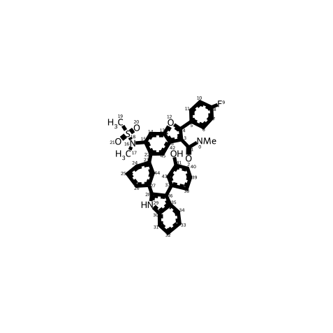 CNC(=O)c1c(-c2ccc(F)cc2)oc2cc(N(C)S(C)(=O)=O)c(-c3cccc(-c4[nH]c5ccccc5c4-c4cccc(O)c4)c3)cc12